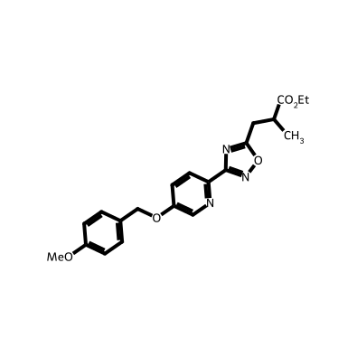 CCOC(=O)C(C)Cc1nc(-c2ccc(OCc3ccc(OC)cc3)cn2)no1